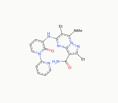 CCc1nn2c(NC)c(CC)c(Nc3cccn(-c4ccccn4)c3=O)nc2c1C(N)=O